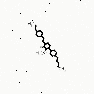 CCCCCC1CCC(c2ccc(CCC3CCC(CCC)CC3)c(F)c2OC)CC1